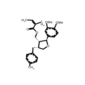 C/C=C(/C)C(=O)OC[C@H]1[C@@H](Cc2ccc(C)cc2)CO[C@@H]1c1ccc(OC)c(OC)c1